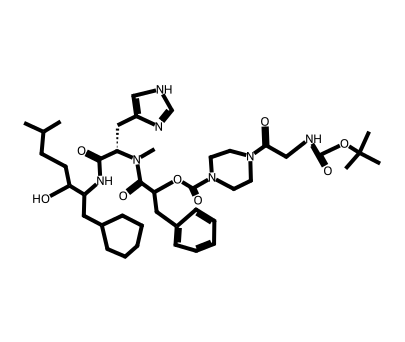 CC(C)CCC(O)C(CC1CCCCC1)NC(=O)[C@H](Cc1c[nH]cn1)N(C)C(=O)C(Cc1ccccc1)OC(=O)N1CCN(C(=O)CNC(=O)OC(C)(C)C)CC1